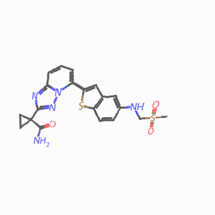 CS(=O)(=O)CNc1ccc2sc(-c3cccc4nc(C5(C(N)=O)CC5)nn34)cc2c1